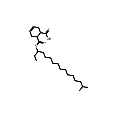 CCC(CCCCCCCCCCCC(C)C)OC(=O)C1CC=CCC1C(=O)O